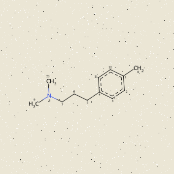 [CH2]c1ccc(CCCN(C)C)cc1